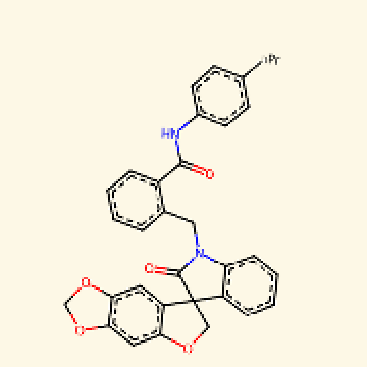 CCCc1ccc(NC(=O)c2ccccc2CN2C(=O)C3(COc4cc5c(cc43)OCO5)c3ccccc32)cc1